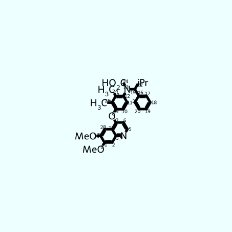 COc1cc2nccc(Oc3ccc(N(C(=O)O)C(c4ccccc4)C(C)C)c(C)c3C)c2cc1OC